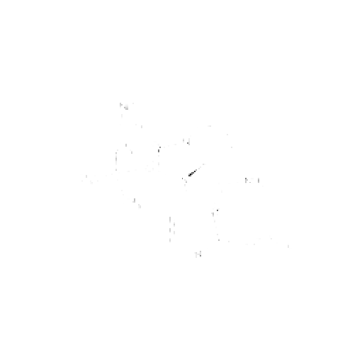 CC(C)(C)OC(=O)N1CCC[C@@]1(C(N)=O)N(CCCN)c1ccnc2cc(Cl)ccc12